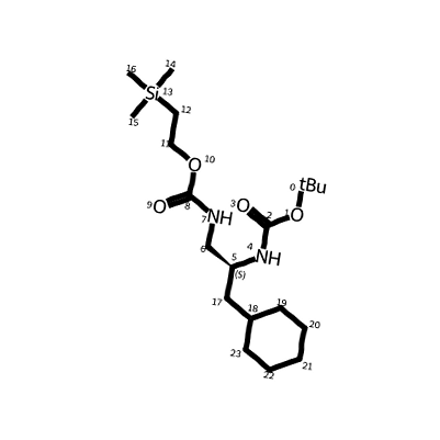 CC(C)(C)OC(=O)N[C@H](CNC(=O)OCC[Si](C)(C)C)CC1CCCCC1